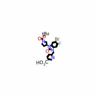 CC(C)(C)OC(=O)N1CC[C@H](n2c(=O)n(Cc3ccc(C(=O)O)cn3)c3cc(F)c(Br)cc32)C1